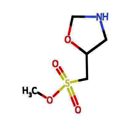 COS(=O)(=O)CC1CNCO1